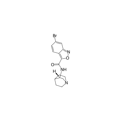 O=C(N[C@@H]1CN2CCC1CC2)c1onc2cc(Br)ccc12